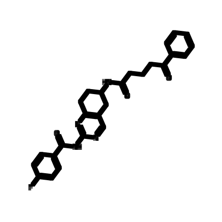 O=C(CCCC(=O)c1ccccc1)NC1CCc2nc(NC(=O)c3ccc(F)cc3)ncc2C1